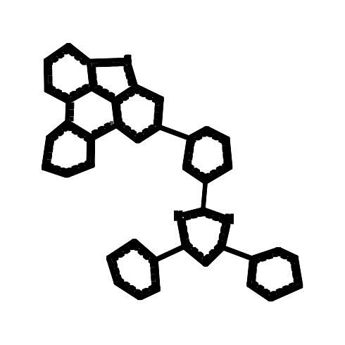 c1ccc(-c2cc(-c3ccccc3)nc(-c3cccc(-c4cc5sc6cccc7c8ccccc8c(c4)c5c67)c3)n2)cc1